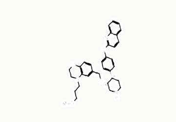 COCCCN1CCOc2ccc(CO[C@H]3CNCC[C@@H]3c3ccc(Oc4ccc5ccccc5n4)cc3)cc21